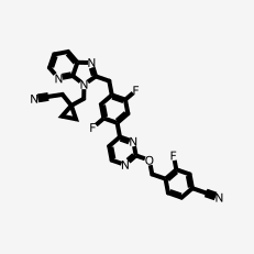 N#CCC1(Cn2c(Cc3cc(F)c(-c4ccnc(OCc5ccc(C#N)cc5F)n4)cc3F)nc3cccnc32)CC1